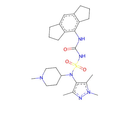 Cc1nn(C)c(C)c1N(C1CCN(C)CC1)S(=O)(=O)NC(=O)Nc1c2c(cc3c1CCC3)CCC2